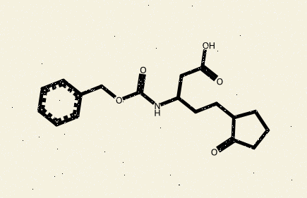 O=C(O)CC(CCC1CCCC1=O)NC(=O)OCc1ccccc1